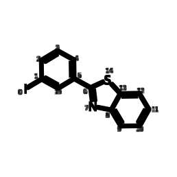 Ic1cccc(-c2nc3ccccc3s2)c1